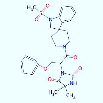 CC1(C)NC(=O)N([C@H](COc2ccccc2)C(=O)N2CCC3(CC2)CN(S(C)(=O)=O)c2ccccc23)C1=O